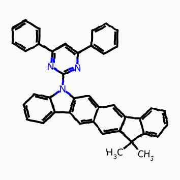 CC1(C)c2ccccc2-c2cc3cc4c(cc3cc21)c1ccccc1n4-c1nc(-c2ccccc2)cc(-c2ccccc2)n1